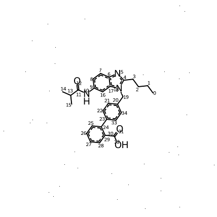 CCCCc1nc2ccc(NC(=O)C(C)C)cc2n1Cc1ccc(-c2ccccc2C(=O)O)cc1